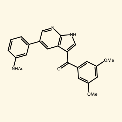 COc1cc(OC)cc(C(=O)c2c[nH]c3ncc(-c4cccc(NC(C)=O)c4)cc23)c1